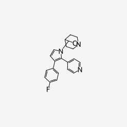 Fc1ccc(-c2ccn(C3CN4CCC3CC4)c2-c2ccncc2)cc1